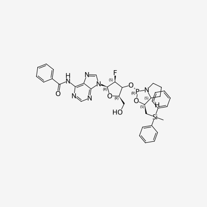 C[Si](C[C@H]1O[P@](OC2[C@@H](CO)O[C@@H](n3cnc4c(NC(=O)c5ccccc5)ncnc43)[C@H]2F)N2CCC[C@@H]12)(c1ccccc1)c1ccccc1